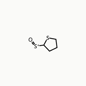 O=[S+]C1CCCS1